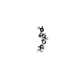 COC(=O)c1c(C)cc(N2CCN(C(=O)c3cnc4c(n3)C(C)(C)CN4c3ccc(C)c(Cl)c3)C(C)(C)C2)nc1C